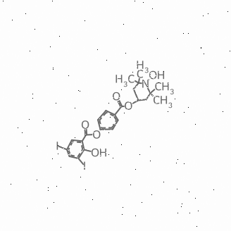 CC1(C)CC(OC(=O)c2ccc(OC(=O)c3cc(I)cc(I)c3O)cc2)CC(C)(C)N1O